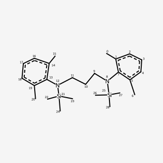 Cc1cccc(C)c1N(CCCN(c1c(C)cccc1C)[Si](C)(C)C)[Si](C)(C)C